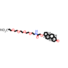 C[C@]12CCC(=O)C[C@@H]1CC[C@@H]1[C@@H]2CC[C@]2(C)[C@@H](OCC(=O)NCCOCCOCCOCCOCCC(=O)O)CC[C@@H]12